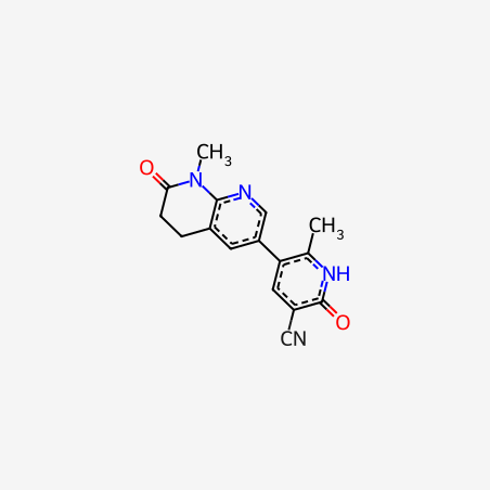 Cc1[nH]c(=O)c(C#N)cc1-c1cnc2c(c1)CCC(=O)N2C